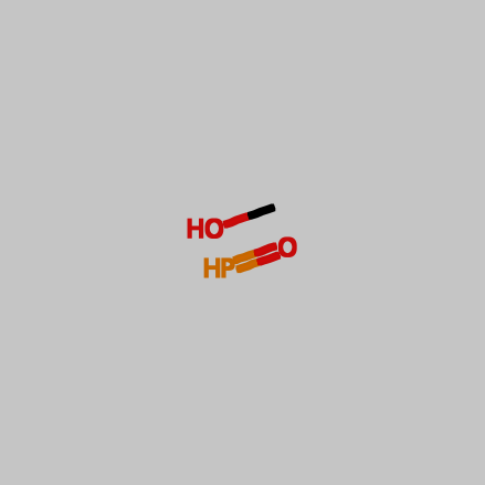 CO.O=P